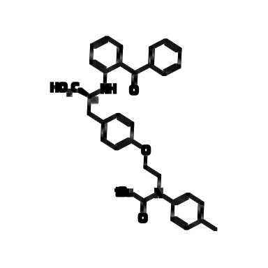 Cc1ccc(N(CCOc2ccc(C[C@H](Nc3ccccc3C(=O)c3ccccc3)C(=O)O)cc2)C(=O)C(C)(C)C)cc1